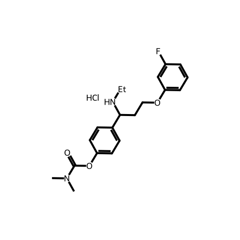 CCNC(CCOc1cccc(F)c1)c1ccc(OC(=O)N(C)C)cc1.Cl